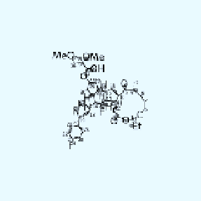 CC[C@H]1CCCC[C@@H](C)C(=O)C2=CC3[C@@H](C(F)C(n4cc(-c5ccc(F)cc5)nn4)[C@@H]4C[C@@H](OC(O)[C@H](COC)OC)C[C@@H]34)[C@@H]2CC(=O)O1